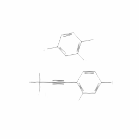 CC(C)(O)C#Cc1ccc(Br)cc1F.Fc1cc(Br)ccc1I